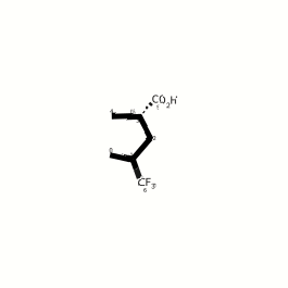 CC(C[C@H](C)C(=O)O)C(F)(F)F